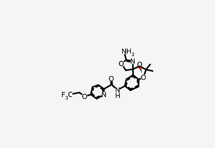 CC1(C)Oc2ccc(NC(=O)c3ccc(OCC(F)(F)F)cn3)cc2C2(COC(N)=N2)C12COC2